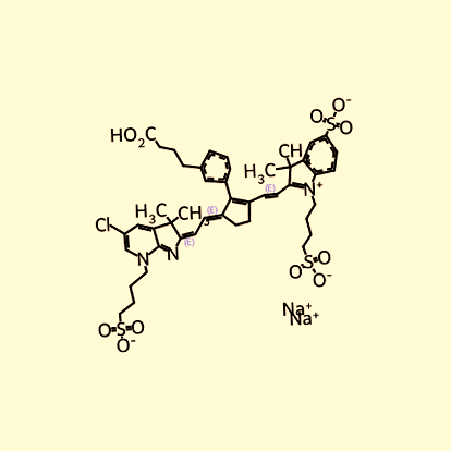 CC1(C)C2=CC(Cl)=CN(CCCCS(=O)(=O)[O-])C2=N/C1=C/C=C1\CCC(/C=C/C2=[N+](CCCCS(=O)(=O)[O-])c3ccc(S(=O)(=O)[O-])cc3C2(C)C)=C1c1cccc(CCCC(=O)O)c1.[Na+].[Na+]